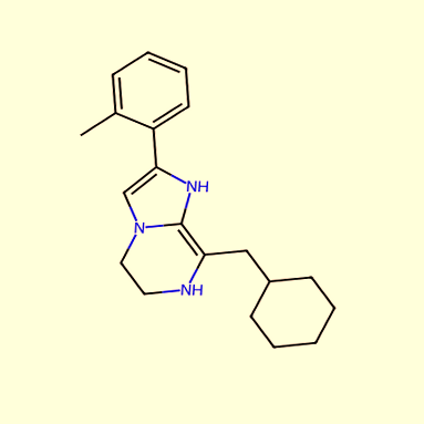 Cc1ccccc1C1=CN2CCNC(CC3CCCCC3)=C2N1